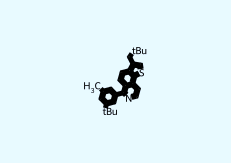 Cc1cc(-c2nccc3c2ccc2c(CC(C)(C)C)csc23)cc(C(C)(C)C)c1